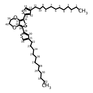 CCCCCCCCCCCCc1csc(-c2sc(-c3cc(CCCCCCCCCCCC)cs3)c3c2OCCO3)c1